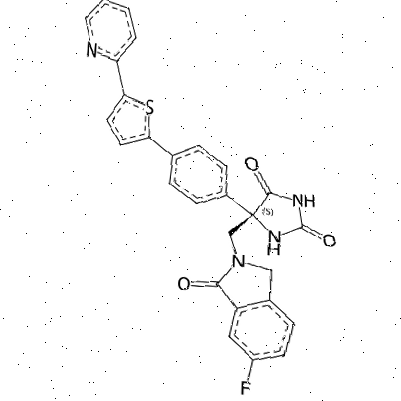 O=C1NC(=O)[C@@](CN2Cc3ccc(F)cc3C2=O)(c2ccc(-c3ccc(-c4ccccn4)s3)cc2)N1